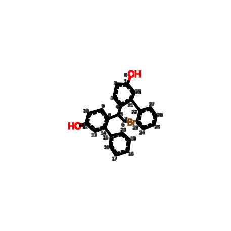 Oc1ccc(C(CBr)c2ccc(O)cc2-c2ccccc2)c(-c2ccccc2)c1